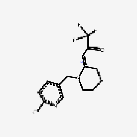 O=C(/C=C1\CCCCN1Cc1ccc(Cl)nc1)C(F)(F)F